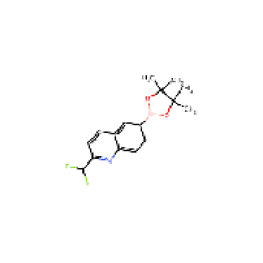 CC1(C)OB(C2C=c3ccc(C(F)F)nc3=CC2)OC1(C)C